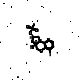 CS(=O)(=O)O[C@H]1C[C@H]2COc3c(I)ccnc3N2C1